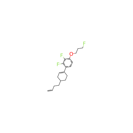 C=CCCC1CC=C(c2ccc(OCCCF)c(F)c2F)CC1